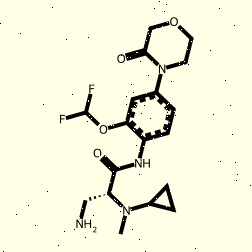 CN(C1CC1)[C@H](CN)C(=O)Nc1ccc(N2CCOCC2=O)cc1OC(F)F